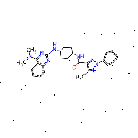 Cc1nn(-c2ccccc2)nc1C(=O)N[C@H]1CC[C@@H](Nc2nc(N(C)C)c3ccccc3n2)CC1